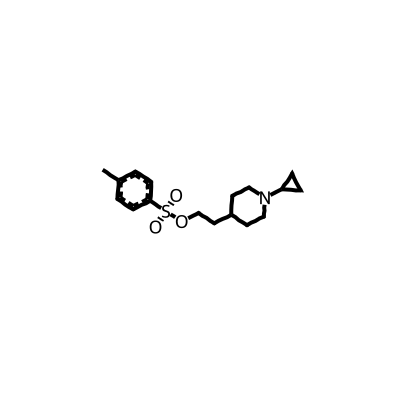 Cc1ccc(S(=O)(=O)OCCC2CCN(C3CC3)CC2)cc1